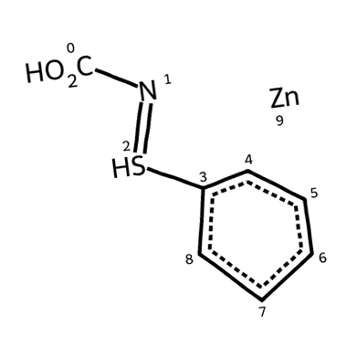 O=C(O)N=[SH]c1ccccc1.[Zn]